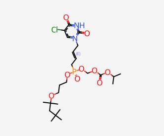 CC(C)OC(=O)OCOP(=O)(C/C=C/Cn1cc(Cl)c(=O)[nH]c1=O)OCCCOC(C)(C)CC(C)(C)C